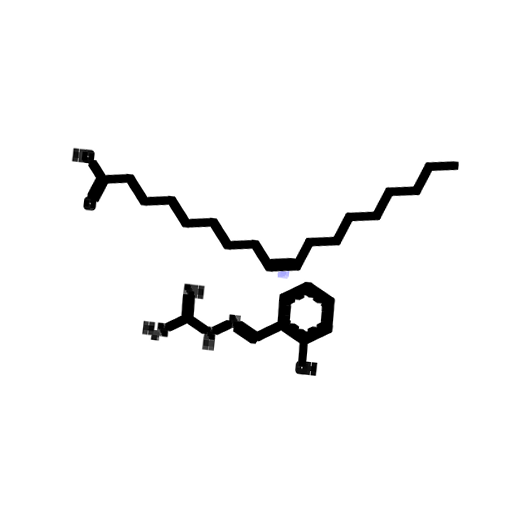 CCCCCCCC/C=C\CCCCCCCC(=O)O.N=C(N)NN=Cc1ccccc1O